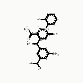 CC(c1cc(N)cc(C(F)F)c1)c1cc(=O)n(-c2ccccc2F)nc1C(N)=O